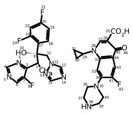 C[C@@H](c1ncncc1F)[C@](O)(Cn1cncn1)c1ccc(F)cc1F.O=C(O)c1cn(C2CC2)c2cc(N3CCNCC3)c(F)cc2c1=O